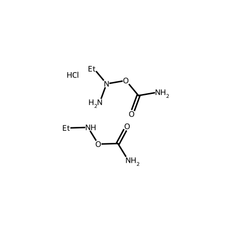 CCN(N)OC(N)=O.CCNOC(N)=O.Cl